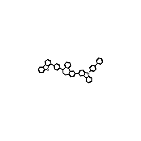 c1ccc(-c2ccc(-n3c4ccccc4c4cc(-c5ccc6c(c5)-c5ccccc5C(c5ccc(-c7cccc8c7sc7ccccc78)cc5)CC6)ccc43)cc2)cc1